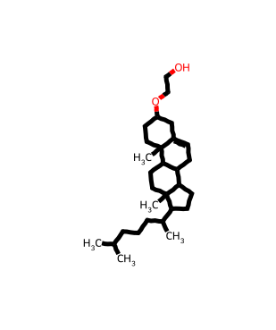 CC(C)CCCC(C)C1CCC2C3CC=C4CC(OCCO)CCC4(C)C3CCC12C